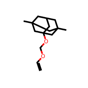 C=COCOC12CC3CC(C)(CC(C)(C3)C1)C2